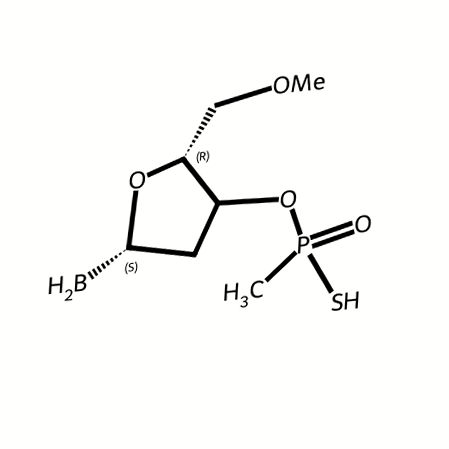 B[C@H]1CC(OP(C)(=O)S)[C@@H](COC)O1